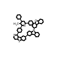 Cc1c(-c2ccccc2)cc(-c2ccccc2)nc1-c1ccc(-c2nccc3sc4ccc(-c5ccc6c(c5)c5ccccc5n6-c5ccc6oc7ccccc7c6c5)cc4c23)cc1